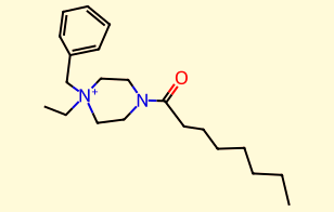 CCCCCCCC(=O)N1CC[N+](CC)(Cc2ccccc2)CC1